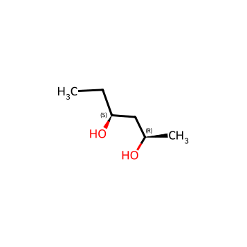 CC[C@H](O)C[C@@H](C)O